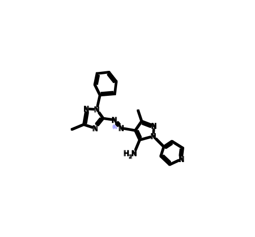 Cc1nc(/N=N/c2c(C)nn(-c3ccncc3)c2N)n(-c2ccccc2)n1